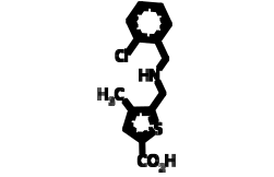 Cc1cc(C(=O)O)sc1CNCc1ccccc1Cl